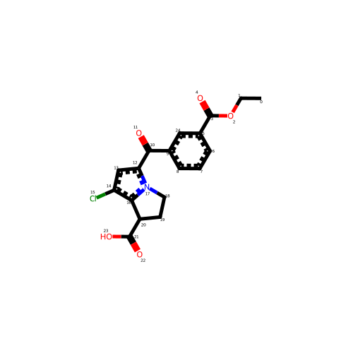 CCOC(=O)c1cccc(C(=O)c2cc(Cl)c3n2CCC3C(=O)O)c1